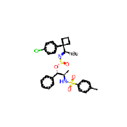 CCCC/C(=N\[S@](=O)O[C@@H](c1ccccc1)[C@@H](C)NS(=O)(=O)c1ccc(C)cc1)C1(c2ccc(Cl)cc2)CCC1